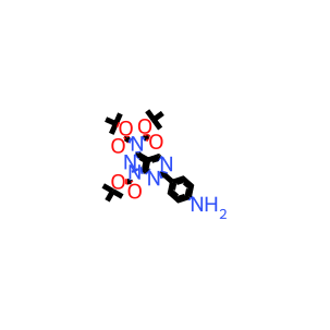 CC(C)(C)OC(=O)N(C(=O)OC(C)(C)C)c1nn(C(=O)OC(C)(C)C)c2nc(-c3ccc(N)cc3)ncc12